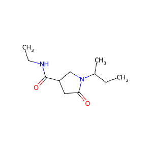 CCNC(=O)C1CC(=O)N(C(C)CC)C1